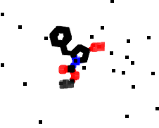 CC(C)(C)OC(=O)N1C[C@@H](O)C[C@@H]1Cc1ccccc1